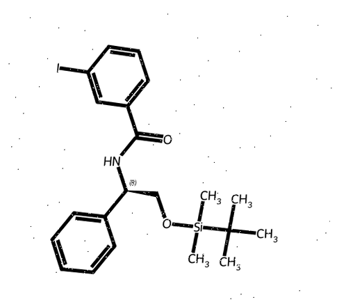 CC(C)(C)[Si](C)(C)OC[C@H](NC(=O)c1cccc(I)c1)c1ccccc1